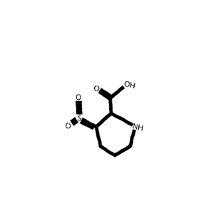 O=C(O)C1NCCCC1=S(=O)=O